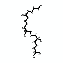 CCCCCC(C)CCCCC(C)CCCC(C)CCCC(C)C